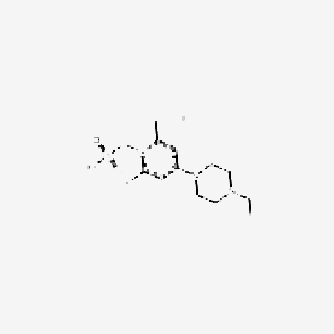 CCN1CCN(c2cc(C)[n+](OS(=O)(=O)O)c(N)c2)CC1.[OH-]